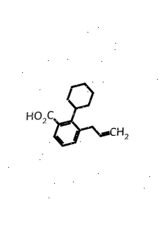 C=CCc1cccc(C(=O)O)c1C1CCCCC1